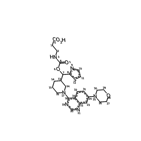 O=C(O)CCNC(=O)OC(c1nccs1)C1CCCN(c2ncnc3cc(N4CCOCC4)ccc23)C1